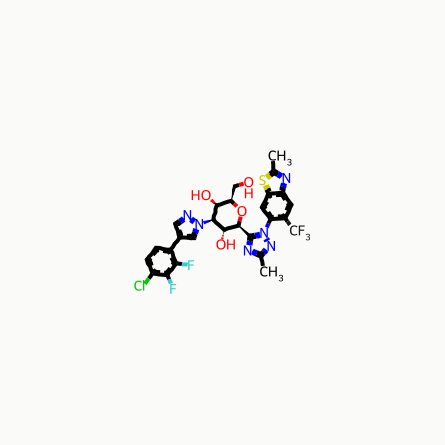 Cc1nc([C@@H]2O[C@H](CO)[C@H](O)[C@H](n3cc(-c4ccc(Cl)c(F)c4F)cn3)[C@H]2O)n(-c2cc3sc(C)nc3cc2C(F)(F)F)n1